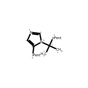 CCCCCC(C)(C)n1cncc1C(C)CCC